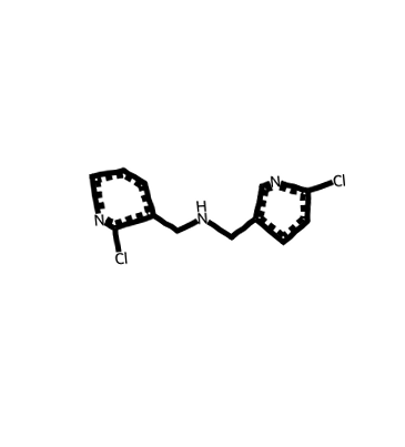 Clc1ccc(CNCc2cccnc2Cl)cn1